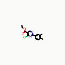 CCOC(=O)c1cnc(-c2ccc(C)c(C)c2)nc1Cl